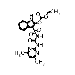 CCOC(=O)Oc1[nH]c2ccccc2c1S(=O)(=O)NC(=O)Nc1nc(C)cc(C)n1